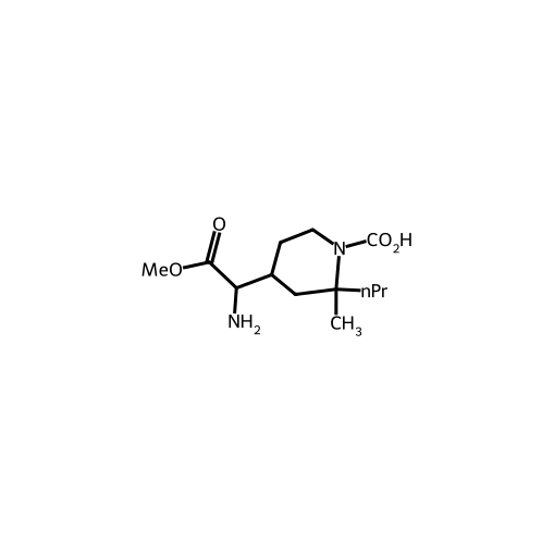 CCCC1(C)CC(C(N)C(=O)OC)CCN1C(=O)O